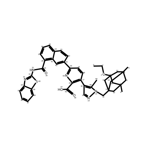 CCOC12CC3(C)CC(C)(CC(Cn4ncc(-c5ccc(-c6ccc7cccc(C(=O)Nc8nc9ccccc9s8)c7c6)nc5C(=O)O)c4C)(C3)C1)C2